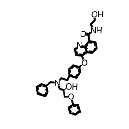 O=C(NCCO)c1cccc2c(Oc3ccc(CCN(Cc4ccccc4)C[C@H](O)COc4ccccc4)cc3)ccnc12